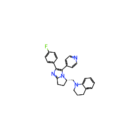 Fc1ccc(-c2nc3n(c2-c2ccncc2)[C@H](CN2CCCc4ccccc42)CC3)cc1